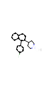 CN1CCC(c2ccc3ccccc3c2-c2ccc(F)cc2)CC1